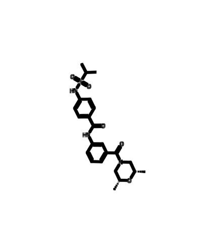 CC(C)S(=O)(=O)Nc1ccc(C(=O)Nc2cccc(C(=O)N3C[C@@H](C)O[C@@H](C)C3)c2)cc1